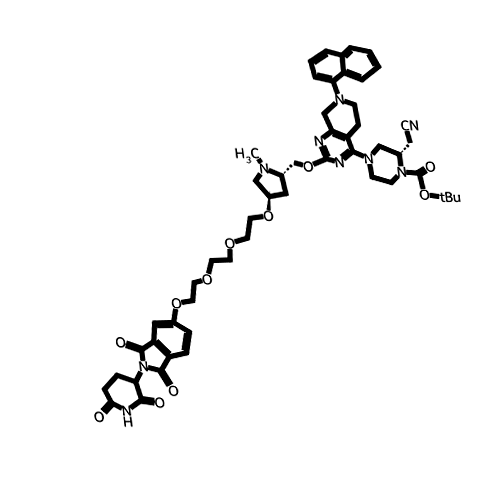 CN1C[C@H](OCCOCCOCCOc2ccc3c(c2)C(=O)N(C2CCC(=O)NC2=O)C3=O)C[C@H]1COc1nc2c(c(N3CCN(C(=O)OC(C)(C)C)[C@@H](CC#N)C3)n1)CCN(c1cccc3ccccc13)C2